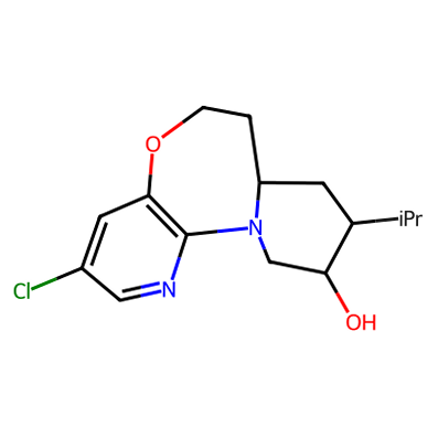 CC(C)C1CC2CCOc3cc(Cl)cnc3N2CC1O